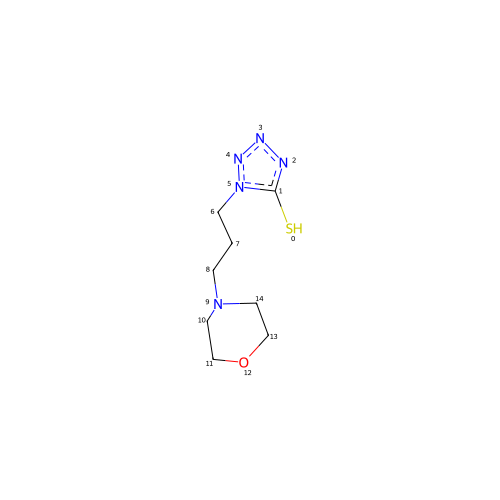 Sc1nnnn1CCCN1CCOCC1